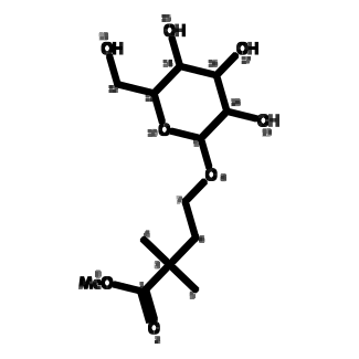 COC(=O)C(C)(C)CCOC1OC(CO)C(O)C(O)C1O